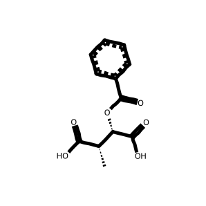 C[C@H](C(=O)O)[C@H](OC(=O)c1ccccc1)C(=O)O